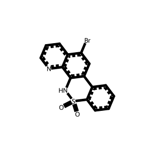 O=S1(=O)Nc2c(cc(Br)c3cccnc23)-c2ccccc21